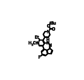 CCC1C(C2=CCN(C(=O)OC(C)(C)C)CC2)=C2NN=C3C=Cc4cc(F)cc(c43)C2=CN1C